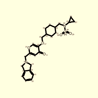 O=c1cc(CN2Cc3ccccc3C2)occ1OCC1CCC(CN(C2CC2)[SH](=O)=O)CC1